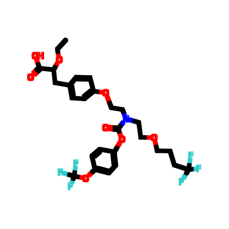 CCOC(Cc1ccc(OCCN(CCOCCCC(F)(F)F)C(=O)Oc2ccc(OC(F)(F)F)cc2)cc1)C(=O)O